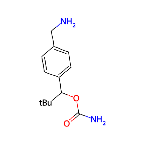 CC(C)(C)C(OC(N)=O)c1ccc(CN)cc1